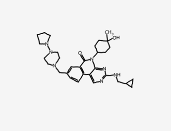 CC1(O)CCC(n2c(=O)c3cc(CN4CCN(N5CCCC5)CC4)ccc3c3cnc(NCC4CC4)nc32)CC1